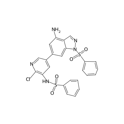 Nc1cc(-c2cnc(Cl)c(NS(=O)(=O)c3ccccc3)c2)cc2c1cnn2S(=O)(=O)c1ccccc1